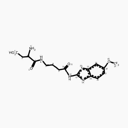 NC(CC(=O)O)C(=O)NCCCC(=O)Nc1nc2ccc(OC(F)(F)F)cc2s1